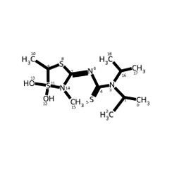 CC(C)N(C(=S)N=C1SC(C)S(O)(O)N1C)C(C)C